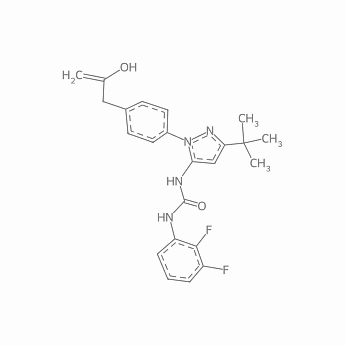 C=C(O)Cc1ccc(-n2nc(C(C)(C)C)cc2NC(=O)Nc2cccc(F)c2F)cc1